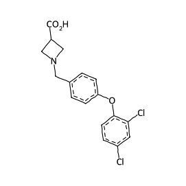 O=C(O)C1CN(Cc2ccc(Oc3ccc(Cl)cc3Cl)cc2)C1